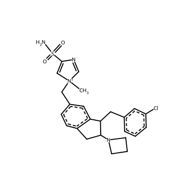 C[N+]1(Cc2ccc3c(c2)C(Cc2cccc(Cl)c2)C(N2CCC2)C3)C=NC(S(N)(=O)=O)=C1